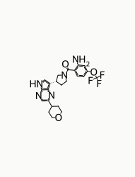 Nc1cc(OC(F)(F)F)ccc1C(=O)N1CC[C@H](c2c[nH]c3ncc(C4CCOCC4)nc23)C1